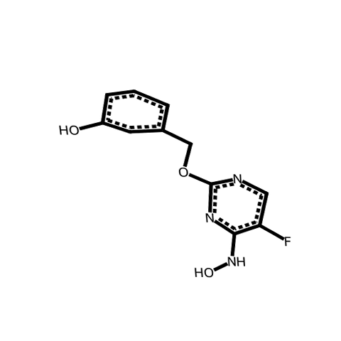 ONc1nc(OCc2cccc(O)c2)ncc1F